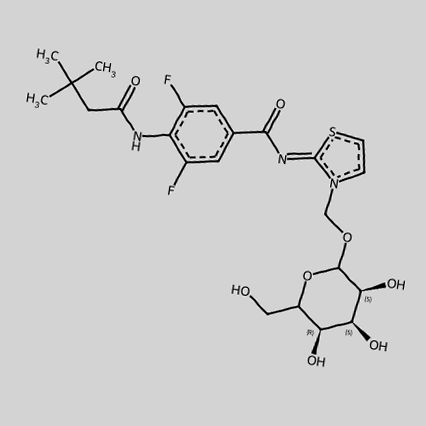 CC(C)(C)CC(=O)Nc1c(F)cc(C(=O)N=c2sccn2COC2OC(CO)[C@H](O)[C@H](O)[C@@H]2O)cc1F